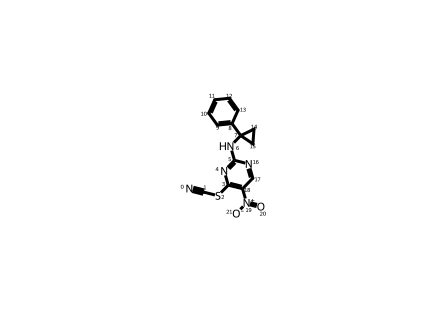 N#CSc1nc(NC2(c3ccccc3)CC2)ncc1[N+](=O)[O-]